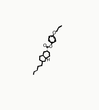 CCCCCC1CCC2C[C@H](C(=O)Oc3ccc(OCCC)cc3)CC[C@@H]2C1